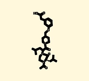 CC(=O)N1CCN(C(CC(C)C)C(=O)N2CCC(COc3cccc(CC(=O)O)c3)CC2)C(=O)[C@@H]1CC(C)C